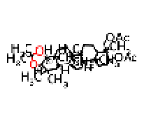 CC(=O)OC[C@@]1(C)C2CC[C@]3(C)[C@H](CC=C4[C@H]5CC(C)(C)[C@H]6OC(C)(C)O[C@H]6[C@]5(C)CC[C@]43C)[C@@]2(C)CC[C@@H]1OC(C)=O